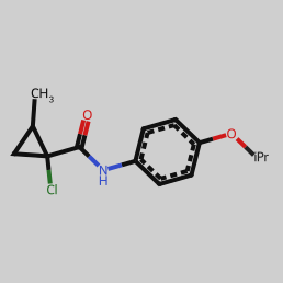 CC(C)Oc1ccc(NC(=O)C2(Cl)CC2C)cc1